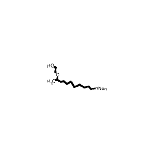 CCCCCCCCCCCCCCCCCCC(C)OCCO